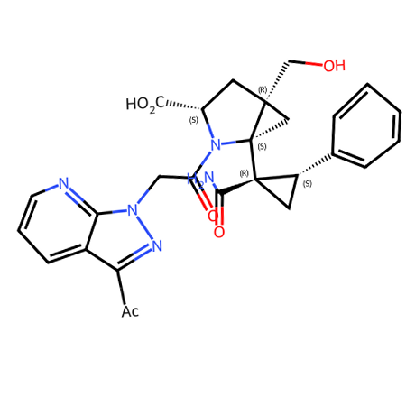 CC(=O)c1nn(CC(=O)N2[C@H](C(=O)O)C[C@@]3(CO)C[C@]23[C@@]2(C(N)=O)C[C@H]2c2ccccc2)c2ncccc12